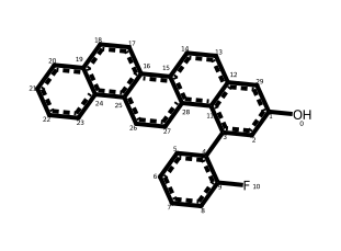 Oc1cc(-c2ccccc2F)c2c(ccc3c4ccc5ccccc5c4ccc32)c1